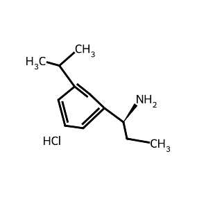 CC[C@H](N)c1cccc(C(C)C)c1.Cl